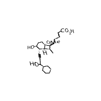 CO[C@@]12CC[C@H](O)[C@@H](C#CC(O)C3CCCCC3)[C@@H]1C(C)/C2=C/CCCC(=O)O